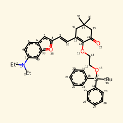 CCN(CC)c1ccc2cc(C=CC3=C(OCCO[Si](c4ccccc4)(c4ccccc4)C(C)(C)C)C(=O)CC(C)(C)C3)oc2c1